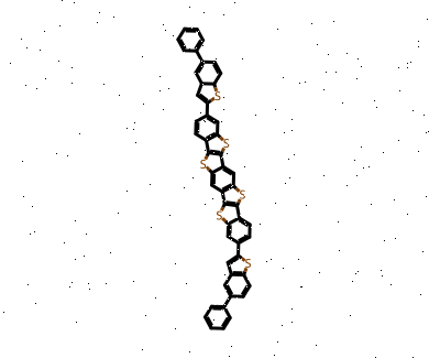 C1=CC2SC(c3ccc4c(c3)sc3c5cc6sc7c8ccc(-c9cc%10cc(-c%11ccccc%11)ccc%10s9)cc8sc7c6cc5sc43)=CC2C=C1c1ccccc1